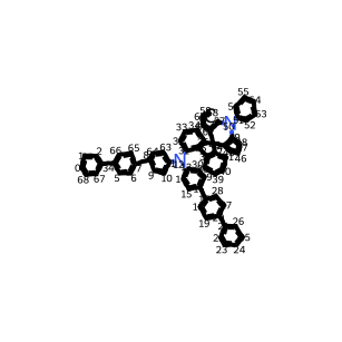 c1ccc(-c2ccc(-c3ccc(N(c4ccc(-c5ccc(-c6ccccc6)cc5)cc4)c4cccc5c4-c4ccccc4C54c5ccccc5N(c5ccccc5)c5ccccc54)cc3)cc2)cc1